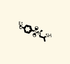 CCOc1ccc(S(=O)(=O)N(C)CC(C)S)cc1